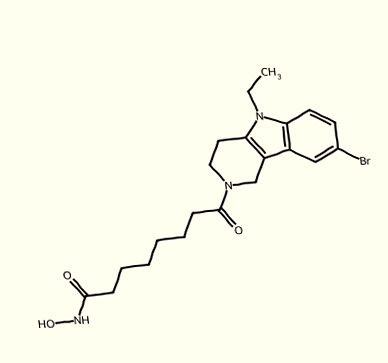 CCn1c2c(c3cc(Br)ccc31)CN(C(=O)CCCCCCC(=O)NO)CC2